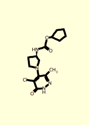 Cc1n[nH]c(=O)c(Cl)c1N1CC[C@@H](NC(=O)OC2CCCC2)C1